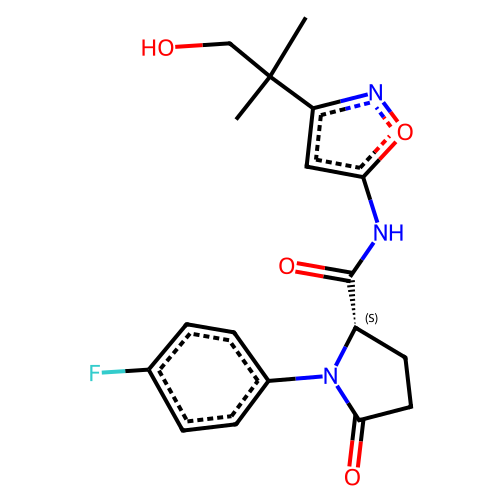 CC(C)(CO)c1cc(NC(=O)[C@@H]2CCC(=O)N2c2ccc(F)cc2)on1